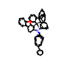 CC1(c2c(N(c3ccc(-c4ccccc4)cc3)c3cccc(-c4ccccc4)c3)ccc3c2oc2ccccc23)c2ccccc2-c2ccccc21